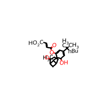 CCCCC(C)(C)C1=CC(O)C([C@@]2(C)C3CCC(=O)C2C3)C(OC(=O)/C=C/C(=O)O)=C1